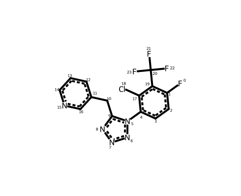 Fc1ccc(-n2nnnc2Cc2cccnc2)c(Cl)c1C(F)(F)F